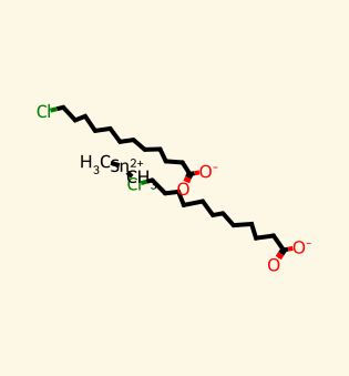 O=C([O-])CCCCCCCCCCCCl.O=C([O-])CCCCCCCCCCCCl.[CH3][Sn+2][CH3]